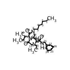 CCCCCCCN1C[C@H]2N(C(=O)CN(CC)N2C(=O)NCc2ccccc2)[C@@H](C(C)CC)C1=O